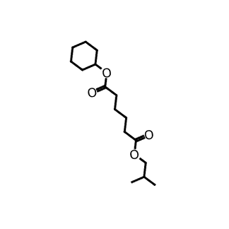 CC(C)COC(=O)CCCCC(=O)OC1CCCCC1